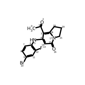 CC(=O)c1c(Nc2ccc(Br)cc2F)cc(=O)n2c1CCC2